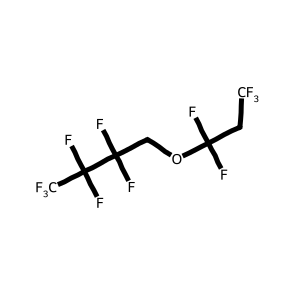 FC(F)(F)CC(F)(F)OCC(F)(F)C(F)(F)C(F)(F)F